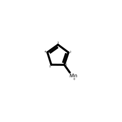 [Mn][C]1=CC=CC1